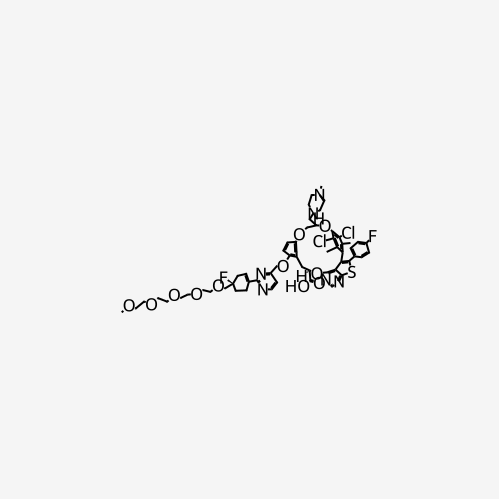 COCCOCCOCCOCCOC[C@]1(F)CC=C(c2nccc(COc3ccc4cc3C[C@H](C(=O)O)Oc3ncnc5sc(-c6ccc(F)cc6)c(c35)-c3c(C)c(Cl)c(c(Cl)c3C)O[C@H](CN3CCN(C)CC3)CO4)n2)CC1